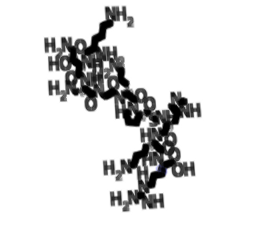 N=C(N)NCC/C=C(\NC(=O)[C@H](CCCCN)NC(=O)[C@H](Cc1cnc[nH]1)NSC(=O)[C@@H]1CCCN1C(=O)[C@@H](CCCN)NC(=O)CNC(=O)[C@H](CN)NC(=O)[C@@H](NC(=O)[C@@H](N)CCCCN)[C@@H](O)CN)C(=O)O